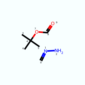 C=NN.CC(C)(C)OC=O